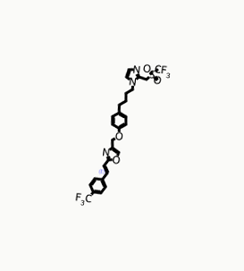 O=S(=O)(Cc1nccn1CCCCc1ccc(OCc2coc(/C=C/c3ccc(C(F)(F)F)cc3)n2)cc1)C(F)(F)F